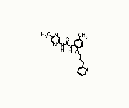 Cc1ccc(OCCCc2ccccn2)c(NC(=O)Nc2cnc(C)cn2)c1